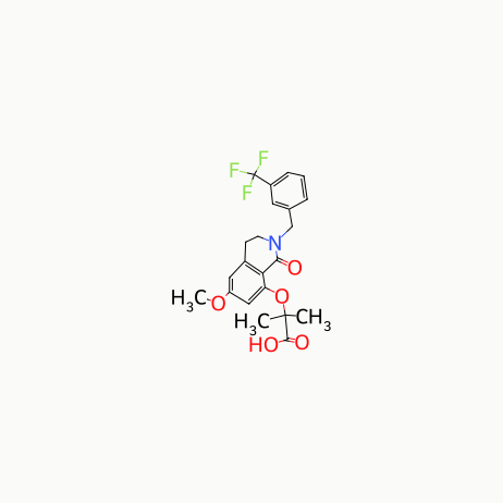 COc1cc2c(c(OC(C)(C)C(=O)O)c1)C(=O)N(Cc1cccc(C(F)(F)F)c1)CC2